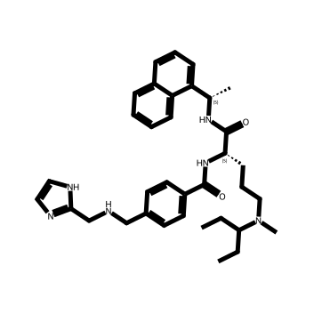 CCC(CC)N(C)CCC[C@H](NC(=O)c1ccc(CNCc2ncc[nH]2)cc1)C(=O)N[C@@H](C)c1cccc2ccccc12